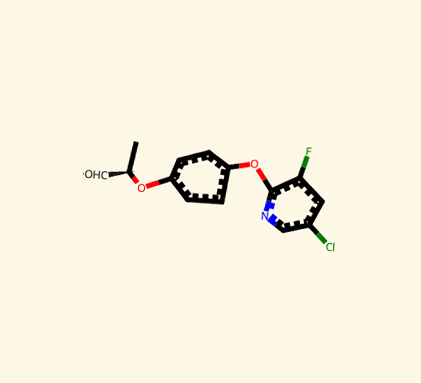 C[C@H]([C]=O)Oc1ccc(Oc2ncc(Cl)cc2F)cc1